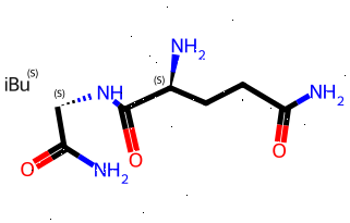 CC[C@H](C)[C@H](NC(=O)[C@@H](N)CCC(N)=O)C(N)=O